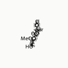 COc1cc(N2CCn3c(cc(-c4ccc(Cl)cc4)c3Br)C2=O)ccc1OCC(C)(C)O